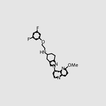 COc1ccc2nccc(-n3cc4c(n3)CCC(NCCOc3cc(F)cc(F)c3)C4)c2n1